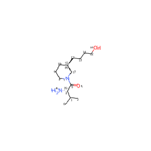 CC(C)[C@H](N)C(=O)N1CCC[C@@H](CCC[CH]O)C1